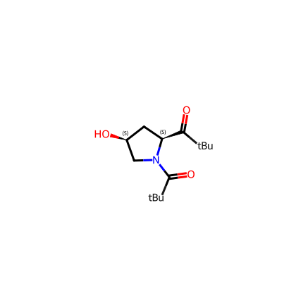 CC(C)(C)C(=O)[C@@H]1C[C@H](O)CN1C(=O)C(C)(C)C